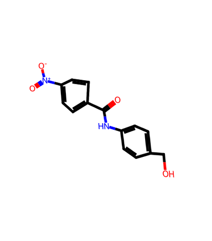 O=C(Nc1ccc(CO)cc1)c1ccc([N+](=O)[O-])cc1